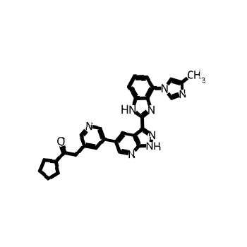 Cc1cn(-c2cccc3[nH]c(-c4n[nH]c5ncc(-c6cncc(CC(=O)C7CCCC7)c6)cc45)nc23)cn1